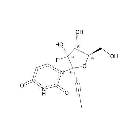 CC#C[C@@]1(n2ccc(=O)[nH]c2=O)O[C@H](CO)[C@@H](O)[C@]1(O)F